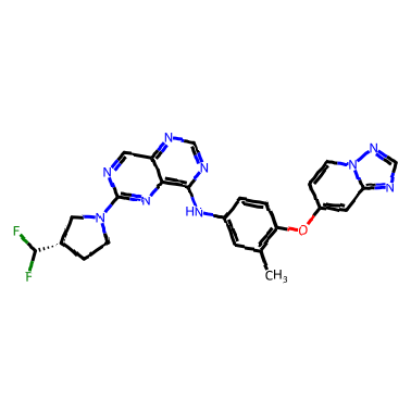 Cc1cc(Nc2ncnc3cnc(N4CC[C@H](C(F)F)C4)nc23)ccc1Oc1ccn2ncnc2c1